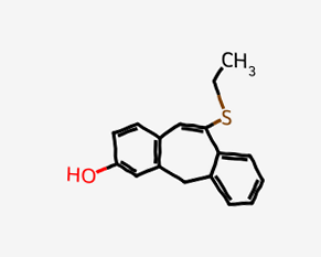 CCSC1=Cc2ccc(O)cc2Cc2ccccc21